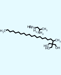 CC(N)CN.CCCCCCCCCCCCCCCCCCC(C)C(CO)(CO)CO.F.F